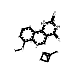 CC1C2CC1C2.COc1cccc2c1ncc1c(=O)[nH]c(=O)[nH]c12